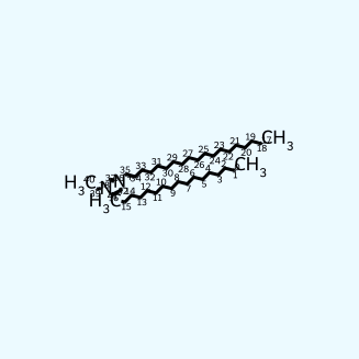 CCCCCCCCCCCCCCCCC.CCCCCCCCCCCCCCCCCCC[N+]1=CN(CC)CC1